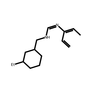 C=CC(=C\C)/N=C\NCC1CCCC(CC)C1